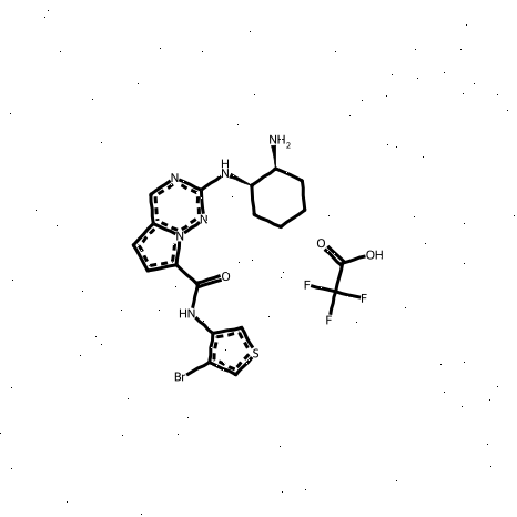 N[C@H]1CCCC[C@H]1Nc1ncc2ccc(C(=O)Nc3cscc3Br)n2n1.O=C(O)C(F)(F)F